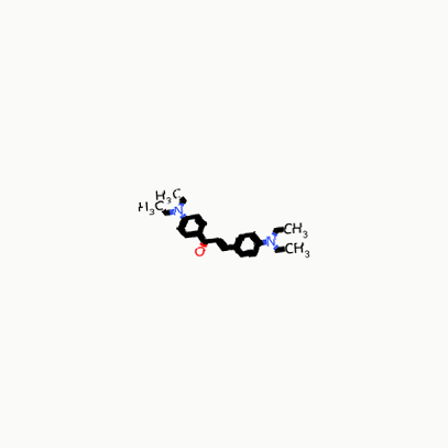 CCN(CC)c1ccc(C=CC(=O)c2ccc(N(CC)CC)cc2)cc1